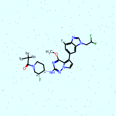 [2H]C([2H])([2H])C(=O)N1CC[C@H](Nc2nc(OC)c3c(-c4cc(F)c5ncn(CC(F)F)c5c4)ccn3n2)[C@H](F)C1